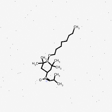 CCCCCCCCON1C(C)(C)CC(/[N+]([O-])=C\C(C)C)CC1(C)C